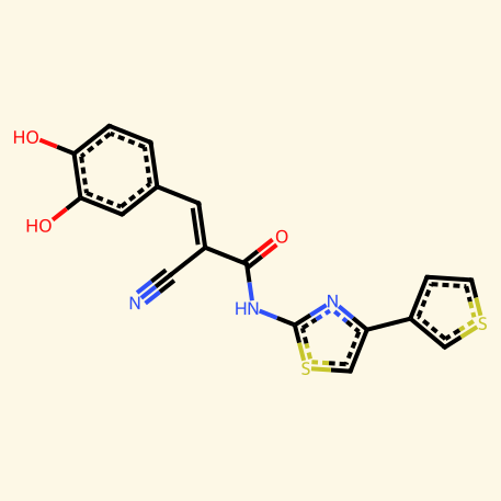 N#C/C(=C\c1ccc(O)c(O)c1)C(=O)Nc1nc(-c2ccsc2)cs1